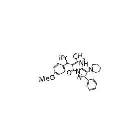 COc1ccc(C(c2c(C)[nH]c3c(N4CCCCC4)c(-c4ccccc4)nn3c2=O)C(C)C)cc1